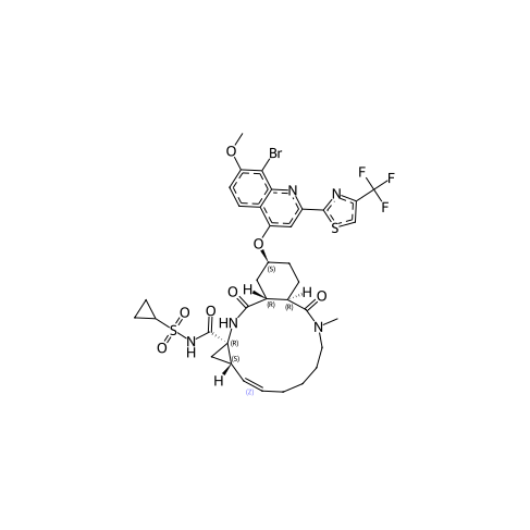 COc1ccc2c(O[C@H]3CC[C@H]4C(=O)N(C)CCCC/C=C\[C@@H]5C[C@@]5(C(=O)NS(=O)(=O)C5CC5)NC(=O)[C@@H]4C3)cc(-c3nc(C(F)(F)F)cs3)nc2c1Br